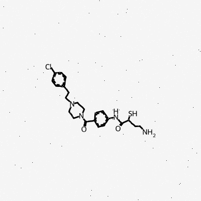 NCCC(S)C(=O)Nc1ccc(C(=O)N2CCN(CCc3ccc(Cl)cc3)CC2)cc1